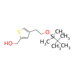 CC(C)(C)[Si](C)(C)OCCc1csc(CO)c1